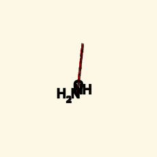 CCCCCCCCCCCCCCCCCCCCCCCCCCCCCCCCCCCCCCCCCCCCCCCCCCOCCCCNCCC(C)(C)CCN